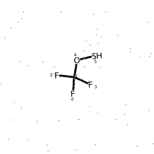 FC(F)(F)OS